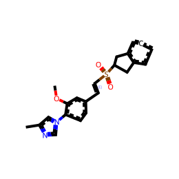 COc1cc(/C=C/S(=O)(=O)C2Cc3ccccc3C2)ccc1-n1cnc(C)c1